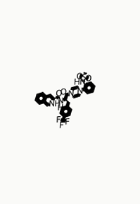 CS(=O)(=O)Nc1ccccc1N1CCN(C(=O)[C@@H](Cc2ccc(C(F)(F)F)cc2)NC(=O)[C@@H]2Cc3ccccc3CN2)CC1